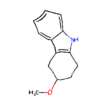 COC1CCc2[nH]c3ccccc3c2C1